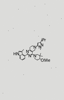 CO[C@H]1CCN(c2nc(-c3cccc4[nH]cc(C)c34)nc3c2CN(c2cc(C(C)C)nn2C)CC3)CC1(C)C